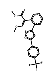 COC=C(C(=O)OC)c1ccccc1-c1cc(-c2ccc(C(F)(F)F)cc2)on1